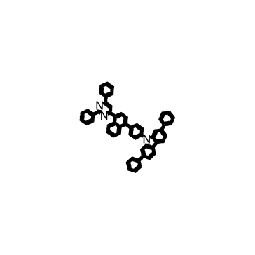 c1ccc(-c2ccc3c4ccc(-c5ccccc5)cc4n(-c4ccc(-c5ccc(-c6cc(-c7ccccc7)nc(-c7ccccc7)n6)c6ccccc56)cc4)c3c2)cc1